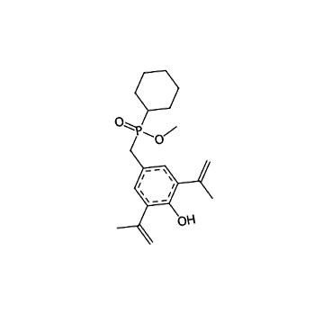 C=C(C)c1cc(CP(=O)(OC)C2CCCCC2)cc(C(=C)C)c1O